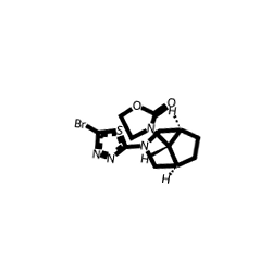 O=C1OCCN1[C@@H]1[C@@H]2CC[C@H]1CN(c1nnc(Br)s1)C2